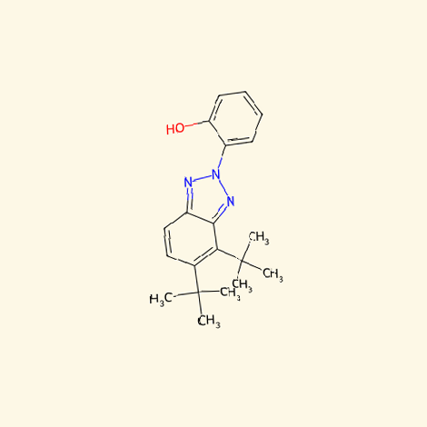 CC(C)(C)c1ccc2nn(-c3ccccc3O)nc2c1C(C)(C)C